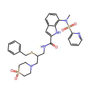 CN(c1cccc2cc(C(=O)NCC(CN3CCS(=O)(=O)CC3)SCc3ccccc3)[nH]c12)S(=O)(=O)c1ccccn1